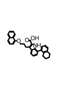 O=C(O)c1[nH]c2c(-c3cccc4c3CCCC4)cccc2c1CCCOc1cccc2ccccc12